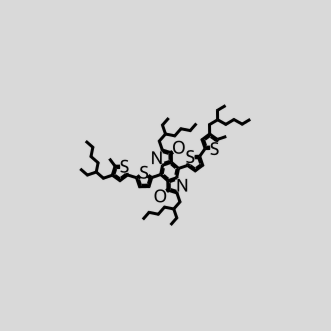 CCCCC(CC)Cc1cc(-c2ccc(-c3c4nc(CC(CC)CCCC)c(=O)c4c(-c4ccc(-c5cc(CC(CC)CCCC)c(C)s5)s4)c4nc(CC(CC)CCCC)c(=O)c34)s2)sc1C